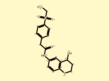 CCS(=O)(=O)c1ccc(CC(=O)Nc2ccc3c(c2)C(O)CCS3)cc1